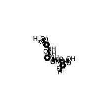 CS(=O)(=O)c1ccc(NC(=O)NC2CCCCC2NC(=O)CNC(=O)c2cc(C(F)(F)F)ccc2NC(=O)O)cc1